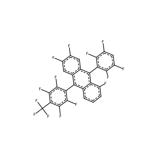 Fc1cc2c(-c3c(F)c(F)c(C(F)(F)F)c(F)c3F)c3cccc(F)c3c(-c3c(F)c(F)cc(F)c3F)c2cc1F